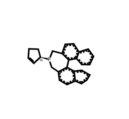 C1=C[C@H](P2Cc3ccc4ccccc4c3-c3c(ccc4ccccc34)C2)CC1